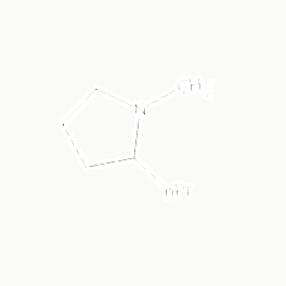 [CH2]N1CCCC1CCC